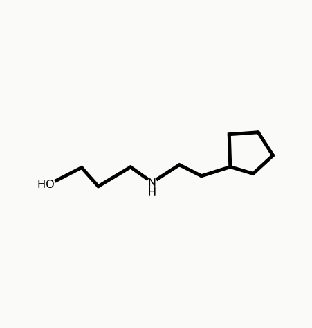 OCCCNCCC1CCCC1